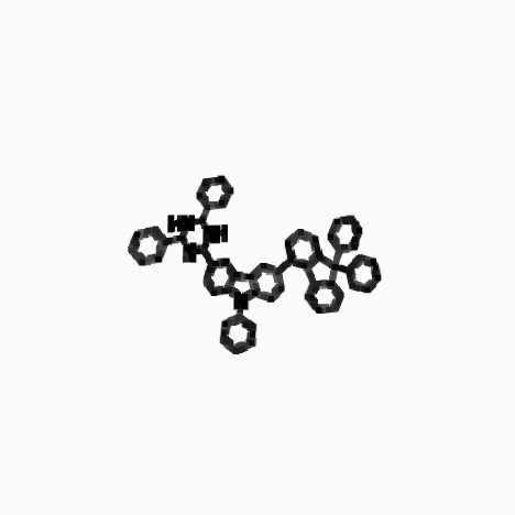 c1ccc(C2N=C(c3ccc4c(c3)c3cc(-c5cccc6c5-c5ccccc5C6(c5ccccc5)c5ccccc5)ccc3n4-c3ccccc3)NC(c3ccccc3)N2)cc1